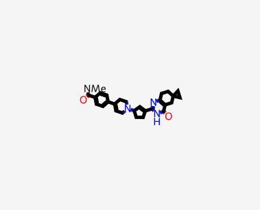 CNC(=O)c1ccc(C2=CCN(C3C=C(c4nc5c(c(=O)[nH]4)CC4(CC5)CC4)CC3)CC2)cc1